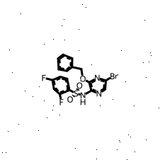 O=S(=O)(Nc1ncc(Br)nc1OCc1ccccc1)c1ccc(F)cc1F